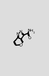 NC(=O)C1=NN=C2CCOC=C21